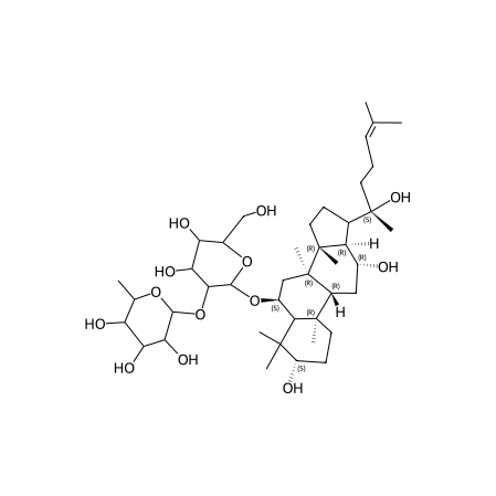 CC(C)=CCC[C@](C)(O)C1CC[C@]2(C)[C@@H]1[C@H](O)C[C@@H]1[C@@]3(C)CC[C@H](O)C(C)(C)C3[C@@H](OC3OC(CO)C(O)C(O)C3OC3OC(C)C(O)C(O)C3O)C[C@]12C